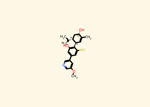 C=C(C)[C@@H]1C[C@H](O)C(C)=C[C@H]1c1c(O)cc(-c2cncc(OC)c2)cc1S